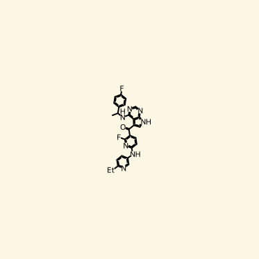 CCc1ccc(Nc2ccc(C(=O)c3c[nH]c4ncnc(NC(C)c5ccc(F)cc5)c34)c(F)n2)cn1